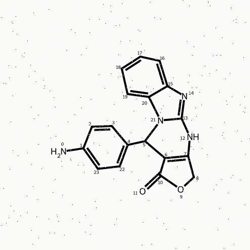 Nc1ccc(C2C3=C(COC3=O)Nc3nc4ccccc4n32)cc1